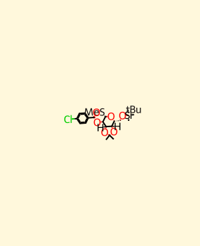 CS[C@@H]1O[C@H](CO[Si](C)(C)C(C)(C)C)[C@@H]2OC(C)(C)O[C@@H]2[C@H]1OC(=O)c1ccc(Cl)cc1